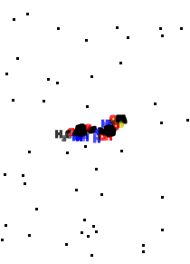 COc1n[nH]c2cc(OCCNCC(O)c3cccc(NS(=O)(=O)c4cccs4)c3)ccc12